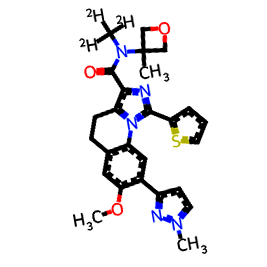 [2H]C([2H])([2H])N(C(=O)c1nc(-c2cccs2)n2c1CCc1cc(OC)c(-c3ccn(C)n3)cc1-2)C1(C)COC1